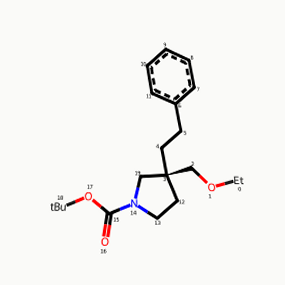 CCOC[C@@]1(CCc2ccccc2)CCN(C(=O)OC(C)(C)C)C1